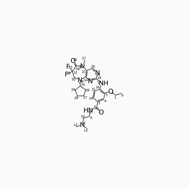 CCOc1cc(C(=O)NCCN(C)C)ccc1Nc1ncc2c(n1)N(C1CCCC1)CC(F)(F)C(=O)N2C